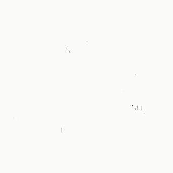 NC(=O)CC1CON=C1c1ccc(Cl)c(Cl)c1